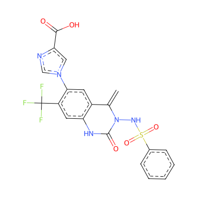 C=C1c2cc(-n3cnc(C(=O)O)c3)c(C(F)(F)F)cc2NC(=O)N1NS(=O)(=O)c1ccccc1